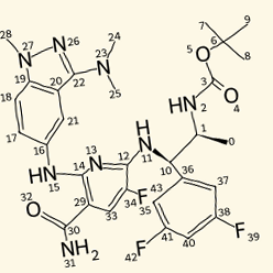 C[C@H](NC(=O)OC(C)(C)C)[C@H](Nc1nc(Nc2ccc3c(c2)c(N(C)C)nn3C)c(C(N)=O)cc1F)c1cc(F)cc(F)c1